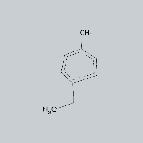 [CH]c1ccc(CC)cc1